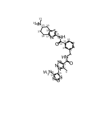 Cc1c(C(=O)NCc2cccc(C(=O)Nc3nc4c(s3)C[C@@H](N(C)C)CC4)c2)nnn1-c1nonc1N